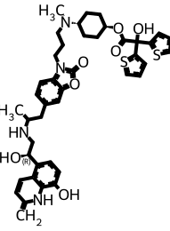 C=C1C=Cc2c([C@@H](O)CNC(C)Cc3ccc4c(c3)oc(=O)n4CCCN(C)[C@H]3CC[C@H](OC(=O)C(O)(c4cccs4)c4cccs4)CC3)ccc(O)c2N1